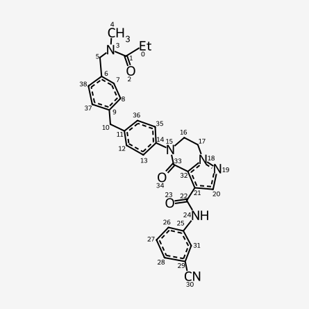 CCC(=O)N(C)Cc1ccc(Cc2ccc(N3CCn4ncc(C(=O)Nc5cccc(C#N)c5)c4C3=O)cc2)cc1